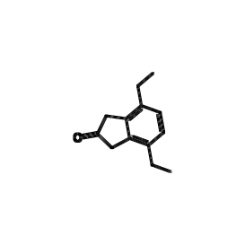 CCc1ccc(CC)c2c1CC(=O)C2